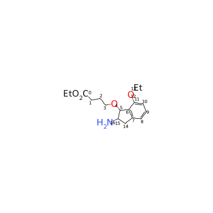 CCOC(=O)CCCOC1c2c(cccc2OCC)CC1N